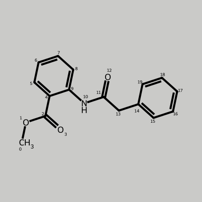 COC(=O)c1ccccc1NC(=O)Cc1ccccc1